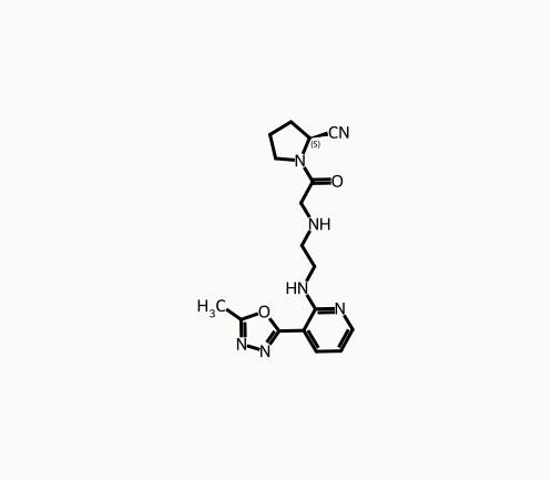 Cc1nnc(-c2cccnc2NCCNCC(=O)N2CCC[C@H]2C#N)o1